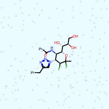 CC(C)Cc1cn([C@H]2C(F)C(C)(F)O[C@@H]([C@H](O)[C@H](O)CO)[C@@H]2NC(=O)C(C)C)nn1